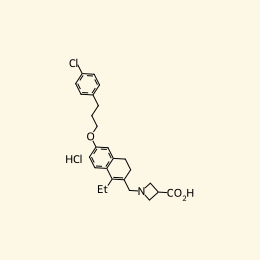 CCC1=C(CN2CC(C(=O)O)C2)CCc2cc(OCCCc3ccc(Cl)cc3)ccc21.Cl